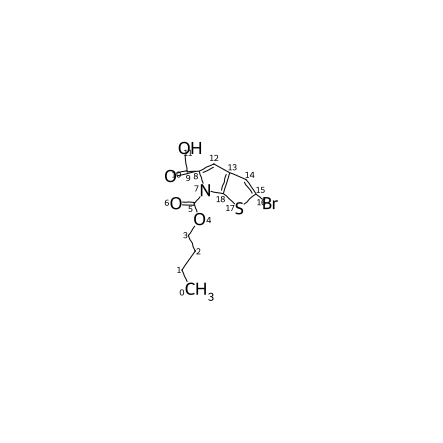 CCCCOC(=O)n1c(C(=O)O)cc2cc(Br)sc21